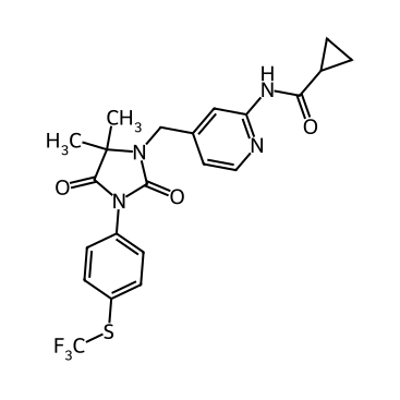 CC1(C)C(=O)N(c2ccc(SC(F)(F)F)cc2)C(=O)N1Cc1ccnc(NC(=O)C2CC2)c1